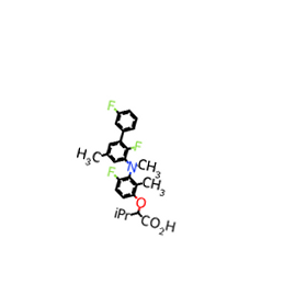 Cc1cc(-c2cccc(F)c2)c(F)c(N(C)c2c(F)ccc(OC(C(=O)O)C(C)C)c2C)c1